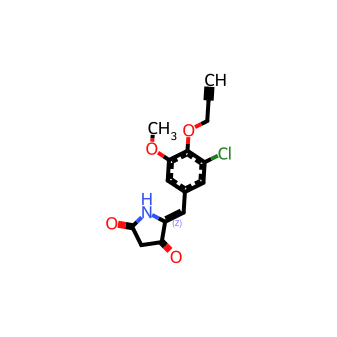 C#CCOc1c(Cl)cc(/C=C2\NC(=O)CC2=O)cc1OC